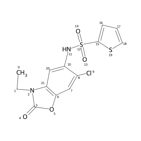 CCn1c(=O)oc2cc(Cl)c(NS(=O)(=O)c3cccs3)cc21